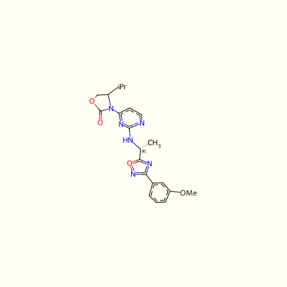 COc1cccc(-c2noc([C@@H](C)Nc3nccc(N4C(=O)OCC4C(C)C)n3)n2)c1